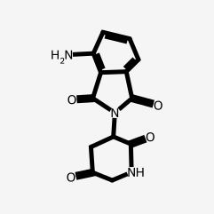 Nc1cccc2c1C(=O)N(C1CC(=O)CNC1=O)C2=O